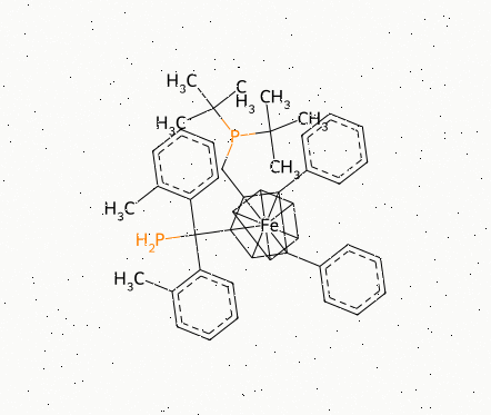 Cc1ccccc1C(P)(c1ccccc1C)[C]12[CH]3[C]4(c5ccccc5)[C]5(c6ccccc6)[C]1(CP(C(C)(C)C)C(C)(C)C)[Fe]34521678[CH]2[CH]1[CH]6[CH]7[CH]28